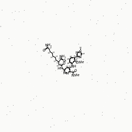 CNC(=O)c1nnc(NC(=O)CC(CCCCCCC(N)=O)C(N)=O)cc1Nc1cccc(-c2ncn(C)n2)c1OC